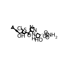 NS(=O)(=O)OC[C@H]1C[C@@H](Nc2ncncc2C(=O)c2cc(C(O)C#CC3CC3)c(Cl)s2)C[C@@H]1O